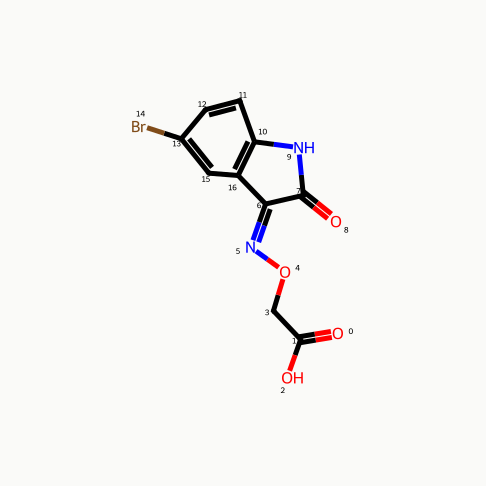 O=C(O)CON=C1C(=O)Nc2ccc(Br)cc21